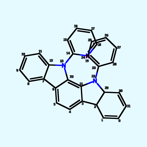 C1=CC2c3ccc4c5ccccc5n(-c5ccccn5)c4c3N(c3ccccc3)C2C=C1